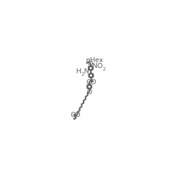 C=CC(=O)OCCCCCCCCCCCOc1ccc(OC(=O)c2ccc(-c3cc([N+](=O)[O-])c(O[C@H](C)CCCCCC)cc3N)cc2)cc1